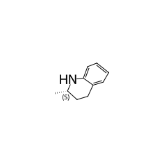 C[C@H]1CCc2ccccc2N1